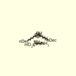 CCCCCCCCCCCCCCCCOP(=O)(O)OCCCCCCCCCCCCCCCC.NCCCCC(N)C(=O)O